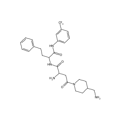 NCC1CCN(C(=O)CC(N)C(=O)NC(CCc2ccccc2)C(=O)Nc2cccc(C(F)(F)F)c2)CC1